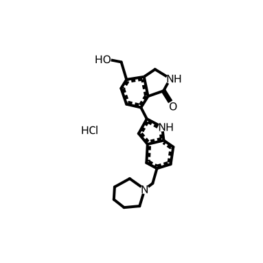 Cl.O=C1NCc2c(CO)ccc(-c3cc4cc(CN5CCCCC5)ccc4[nH]3)c21